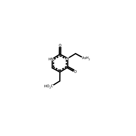 O=C(O)Cc1c[nH]c(=O)n(C[AsH2])c1=O